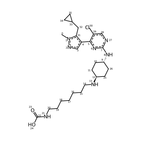 Cn1ncc(-c2nc(N[C@H]3CC[C@H](NCCCCCCCNC(=O)O)CC3)ncc2Cl)c1CC1CC1